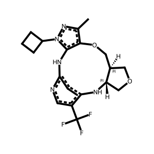 Cc1nn(C2CCC2)c2c1OC[C@H]1COC[C@@H]1Nc1cc(ncc1C(F)(F)F)N2